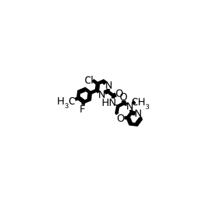 Cc1ccc(-c2nc(C(=O)N[C@H]3COc4cccnc4N(C)C3=O)ncc2Cl)cc1F